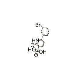 O=c1[nH]c(-c2cccc(Br)c2)ccc1P(=O)(O)O